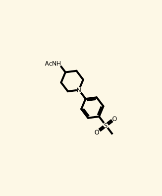 CC(=O)NC1CCN(c2ccc(S(C)(=O)=O)cc2)CC1